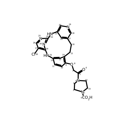 O=C(O)N1CCN(C(=O)COc2ccc3cc2CCc2cncc(c2)Nc2ncc(Cl)c(n2)N3)CC1